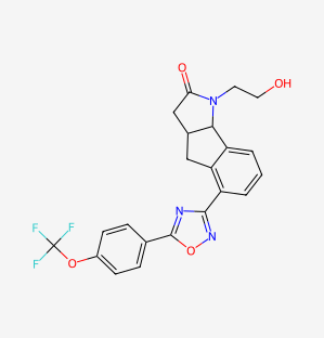 O=C1CC2Cc3c(-c4noc(-c5ccc(OC(F)(F)F)cc5)n4)cccc3C2N1CCO